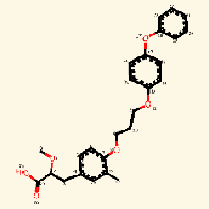 COC(Cc1ccc(OCCCOc2ccc(Oc3ccccc3)cc2)c(C)c1)C(=O)O